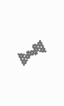 Cc1cc(C)c2c(c1)Cc1cc(C)cc(C)c1B2c1ccc2c(c1)C(C)(C)c1cc3c(cc1-2)C(C)(C)c1cc2c4c(cccc4c1-3)-c1cc(C)cc3c1B2c1c(C)cc(C)cc1C3